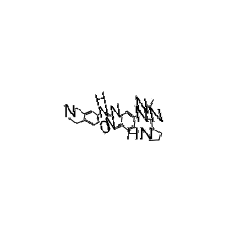 COc1cc2c(cc1Nc1ncc3ccc(-n4nc(C)nc4C4CCCN4)cc3n1)CN(C)CC2